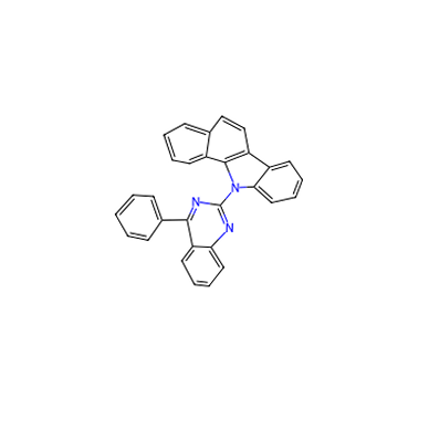 c1ccc(-c2nc(-n3c4ccccc4c4ccc5ccccc5c43)nc3ccccc23)cc1